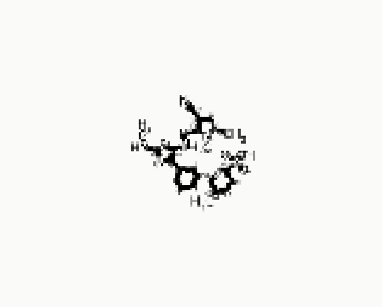 CNc1nc(-c2ccccc2)c(N=NC2C(C#N)=CN(C)N2C)s1.Cc1ccc(S(=O)(=O)O)cc1